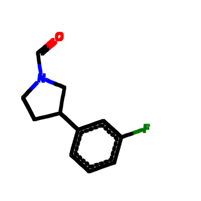 O=CN1CCC(c2cccc(F)c2)C1